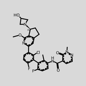 COc1nc(-c2ccc(F)c(-c3c(F)ccc(NC(=O)c4ccnn(C)c4=O)c3C)c2Cl)cc2c1[C@@H](N1CC(O)C1)CC2